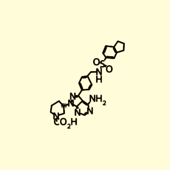 Nc1ncnc2c1c(-c1ccc(CNS(=O)(=O)c3ccc4c(c3)CCC4)cc1)nn2[C@@H]1CCCN(C(=O)O)C1